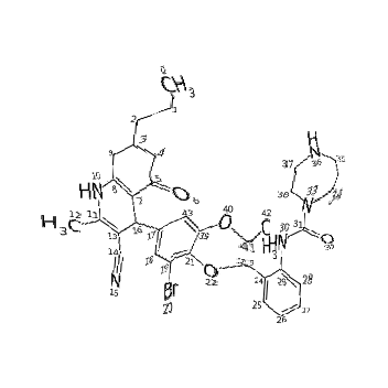 CCCC1CC(=O)C2=C(C1)NC(C)=C(C#N)C2c1cc(Br)c(OCc2ccccc2NC(=O)N2CCNCC2)c(OCC)c1